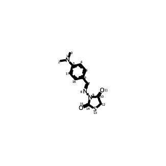 CN(C)c1ccc(C=NN2C(=O)CSC2=O)cc1